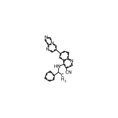 CC(Nc1c(C#N)cnc2ccc(-c3cnc4cncn4c3)cc12)c1ccccc1